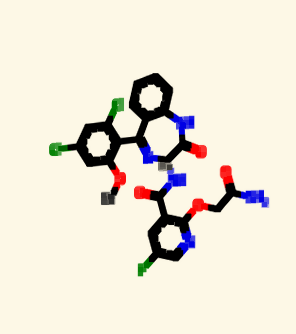 CCOc1cc(Cl)cc(Cl)c1C1=N[C@@H](NC(=O)c2cc(F)cnc2OCC(N)=O)C(=O)Nc2ccccc21